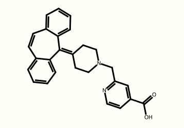 O=C(O)c1ccnc(CN2CCC(=C3c4ccccc4C=Cc4ccccc43)CC2)c1